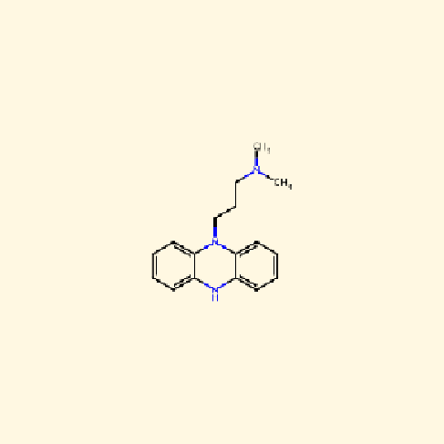 CN(C)CCCN1c2ccccc2Nc2ccccc21